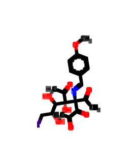 COc1ccc(C=N[C@@](C(C)=O)(C(=O)C(C)=O)[C@](O)(C(C)=O)[C@H](O)[C@H](O)CI)cc1